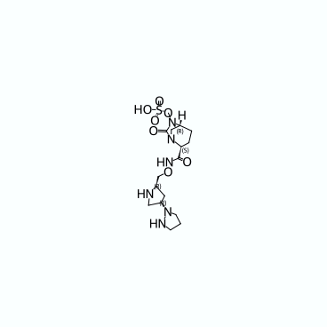 O=C(NOC[C@H]1C[C@@H](N2CCCN2)CN1)[C@@H]1CC[C@@H]2CN1C(=O)N2OS(=O)(=O)O